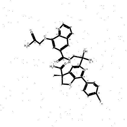 C[C@]1(C(N)=O)COc2c1cc(C(O)(CNC(=O)c1cc(OCC(N)=O)c3ncccc3c1)C(F)(F)F)nc2-c1ccc(F)cc1